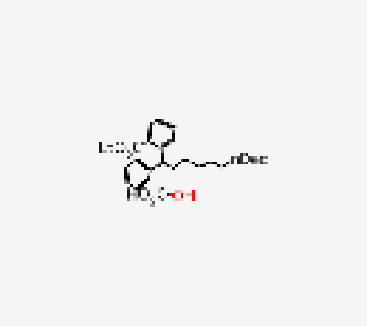 CCCCCCCCCCCCCCCC(c1ccccc1)c1ccccc1C(=O)OCC.O=C(O)O